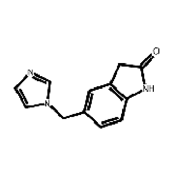 O=C1Cc2cc(Cn3ccnc3)ccc2N1